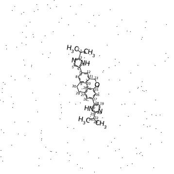 CC(C)c1ncc(-c2cc3c4c(c2)COc2cc(-c5cnc(C(C)C)[nH]5)cc(c2-4)CC3)[nH]1